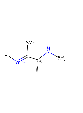 BN[C@H](C)/C(=N/CC)SC